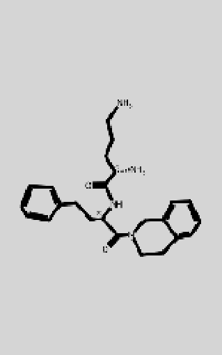 NCCC[C@H](N)C(=O)N[C@H](CCc1ccccc1)C(=O)N1CCc2ccccc2C1